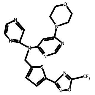 FC(F)(F)c1nc(-c2ccc(CN(c3cnccn3)c3cc(N4CCOCC4)ncn3)s2)no1